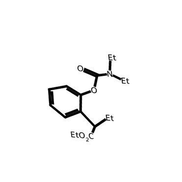 CCOC(=O)C(CC)c1ccccc1OC(=O)N(CC)CC